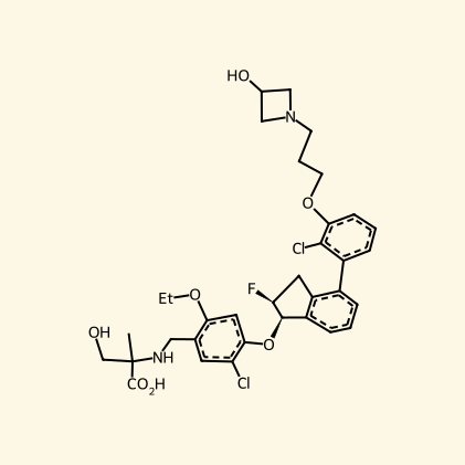 CCOc1cc(O[C@@H]2c3cccc(-c4cccc(OCCCN5CC(O)C5)c4Cl)c3C[C@@H]2F)c(Cl)cc1CNC(C)(CO)C(=O)O